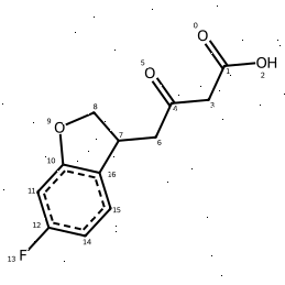 O=C(O)CC(=O)CC1COc2cc(F)ccc21